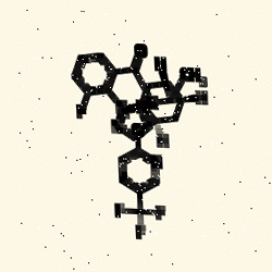 C[C@@H]1[C@@H]2CC[C@@H]([C@H](Oc3ccc(C(F)(F)F)cn3)C2)N1C(=O)c1cccc(F)c1-n1nccn1